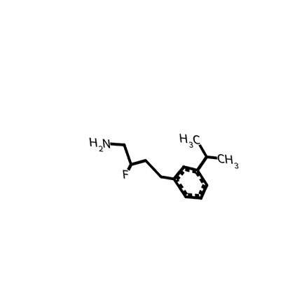 CC(C)c1cccc(CCC(F)CN)c1